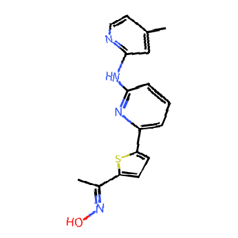 CC(=NO)c1ccc(-c2cccc(Nc3cc(C)ccn3)n2)s1